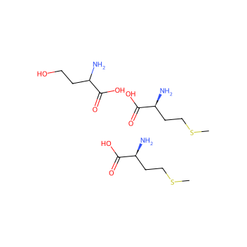 CSCC[C@H](N)C(=O)O.CSCC[C@H](N)C(=O)O.NC(CCO)C(=O)O